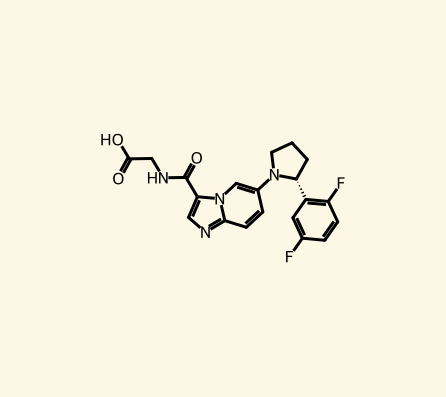 O=C(O)CNC(=O)c1cnc2ccc(N3CCC[C@@H]3c3cc(F)ccc3F)cn12